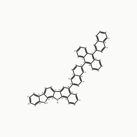 c1ccc2cc(-c3c4ccccc4c(-c4ccc5cc(-c6cc7c8ccc9c%10ccccc%10sc9c8sc7c7ccccc67)ccc5c4)c4ccccc34)ccc2c1